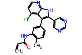 C=CC(=O)Nc1cc(-c2c(-c3cncnc3)[nH]c3nccc(Cl)c23)ccc1C